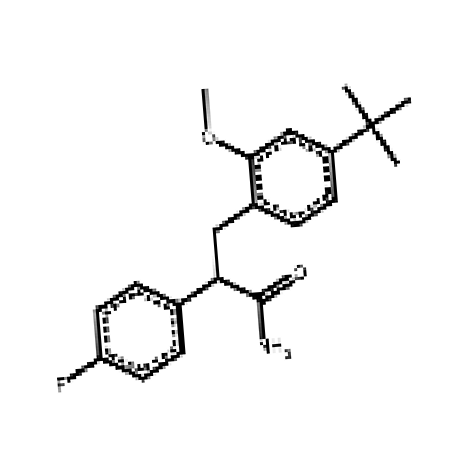 COc1cc(C(C)(C)C)ccc1CC(C(N)=O)c1ccc(F)cc1